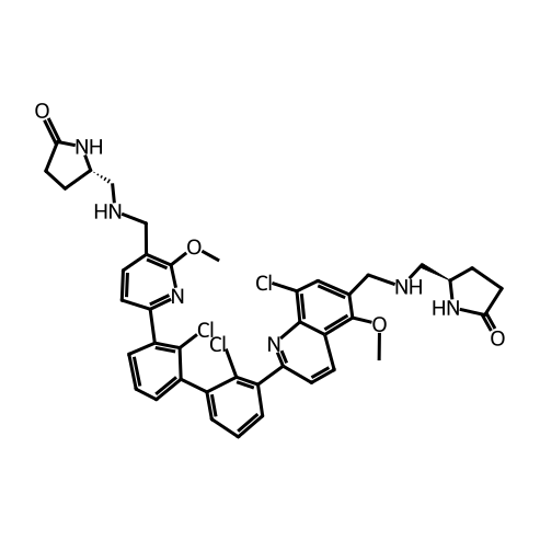 COc1nc(-c2cccc(-c3cccc(-c4ccc5c(OC)c(CNC[C@H]6CCC(=O)N6)cc(Cl)c5n4)c3Cl)c2Cl)ccc1CNC[C@@H]1CCC(=O)N1